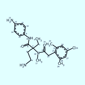 CCC(CCN)(C(=O)Nc1ccc(N)cc1)N(C)C(=O)Cc1c(C)cc(Cl)cc1C